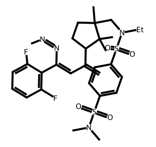 C=C(/C=C(\N=N/C)c1c(F)cccc1F)C1CCC(C)(CN(CC)S(=O)(=O)c2ccc(S(=O)(=O)N(C)C)cc2)C1(C)C